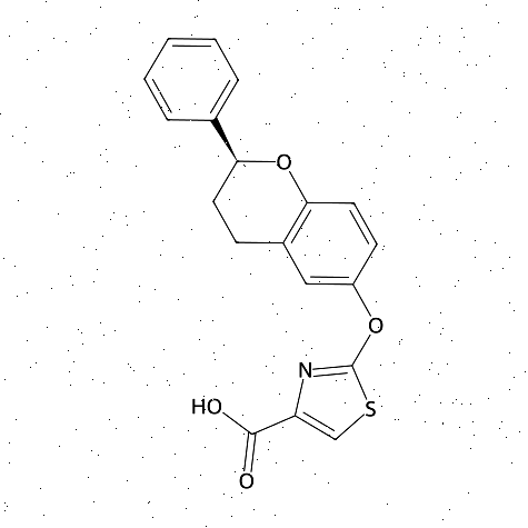 O=C(O)c1csc(Oc2ccc3c(c2)CC[C@@H](c2ccccc2)O3)n1